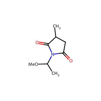 COC(C)N1C(=O)CC(C)C1=O